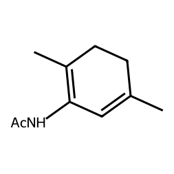 CC(=O)NC1=C(C)CCC(C)=C1